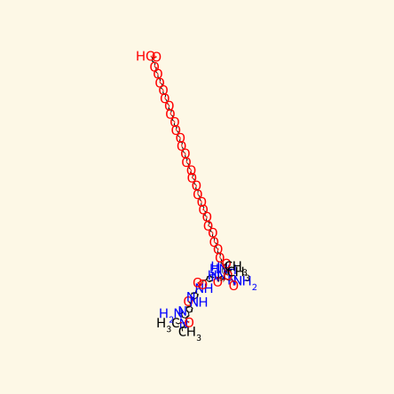 CCCN(CCC)C(=O)C1=Cc2ccc(C(=O)Nc3ccc(CNC(=O)OCc4ccc(NC(=O)[C@H](CCCNC(N)=O)NC(=O)[C@@H](NC(=O)CCOCCOCCOCCOCCOCCOCCOCCOCCOCCOCCOCCOCCOCCOCCOCCOCCOCCOCCOCCOCCOCCOCCOCCOCCOCCC(=O)O)C(C)C)cc4)cn3)cc2N=C(N)C1